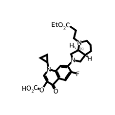 CCOC(=O)CCN1CCC[C@H]2CN(c3cc4c(cc3F)c(=O)c(OC(=O)O)cn4C3CC3)C[C@H]21